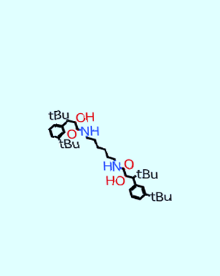 CC(C)(C)c1cccc(C(C(O)C(=O)NCCCCCCNC(=O)C(O)C(c2cccc(C(C)(C)C)c2)C(C)(C)C)C(C)(C)C)c1